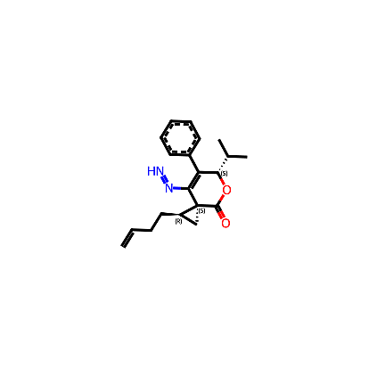 C=CCC[C@@H]1C[C@]12C(=O)O[C@@H](C(C)C)C(c1ccccc1)=C2N=N